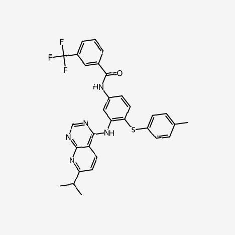 Cc1ccc(Sc2ccc(NC(=O)c3cccc(C(F)(F)F)c3)cc2Nc2ncnc3nc(C(C)C)ccc23)cc1